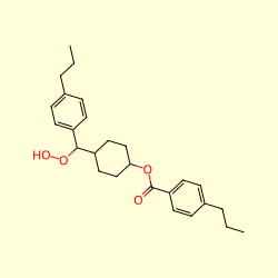 CCCc1ccc(C(=O)OC2CCC(C(OO)c3ccc(CCC)cc3)CC2)cc1